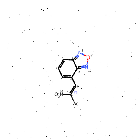 CC(=O)/C(=C/c1cccc2nonc12)[N+](=O)[O-]